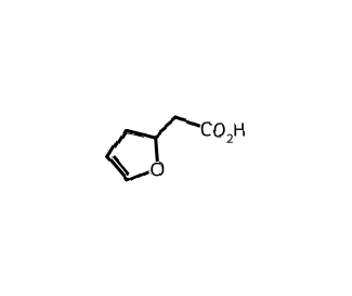 O=C(O)CC1CC=CO1